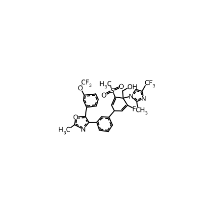 Cc1nc(-c2cccc(C3C=C(F)C(CO)(n4cc(C(F)(F)F)nc4C)C(S(C)(=O)=O)=C3)c2)c(-c2cccc(OC(F)(F)F)c2)o1